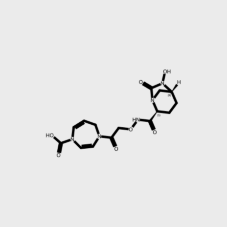 O=C(NOCC(=O)N1C=CN(C(=O)O)C=CC1)[C@@H]1CC[C@@H]2CN1C(=O)N2O